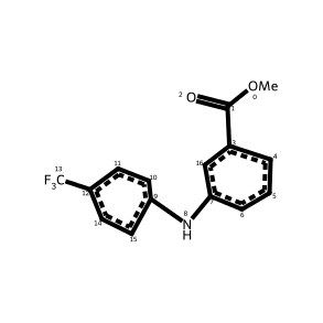 COC(=O)c1cccc(Nc2ccc(C(F)(F)F)cc2)c1